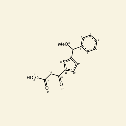 COC(c1ccccc1)c1ccc(C(=O)CC(=O)C(=O)O)s1